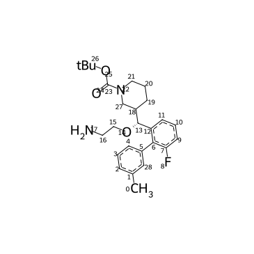 Cc1cccc(-c2c(F)cccc2[C@H](OCCN)C2CCCN(C(=O)OC(C)(C)C)C2)c1